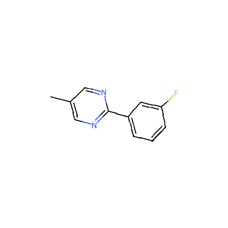 Cc1cnc(-c2cccc(F)c2)nc1